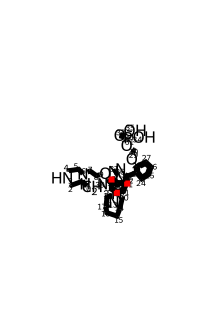 CC1CNCCN1CCOc1cc(N2C3CCC2CN(c2cc(-c4ccccc4OCOP(=O)(O)O)nnc2N)C3)ccn1